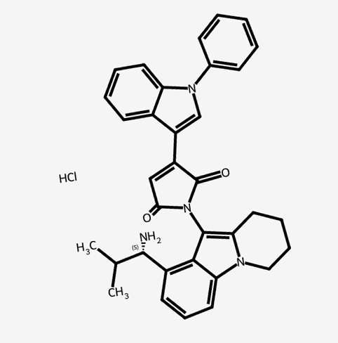 CC(C)[C@H](N)c1cccc2c1c(N1C(=O)C=C(c3cn(-c4ccccc4)c4ccccc34)C1=O)c1n2CCCC1.Cl